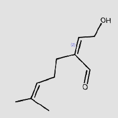 CC(C)=CCC/C(C=O)=C/CO